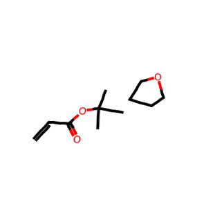 C1CCOC1.C=CC(=O)OC(C)(C)C